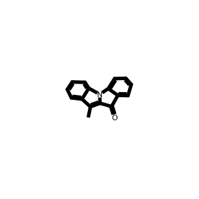 Cc1c2n(c3ccccc13)-c1ccccc1C2=O